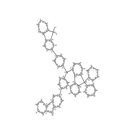 CC1(C)c2ccccc2-c2ccc(-c3ccc(N(c4ccc(-c5ccc6oc7ccccc7c6c5)cc4)c4cccc5c4-c4ccccc4C5(c4ccccc4)c4ccccc4)cc3)cc21